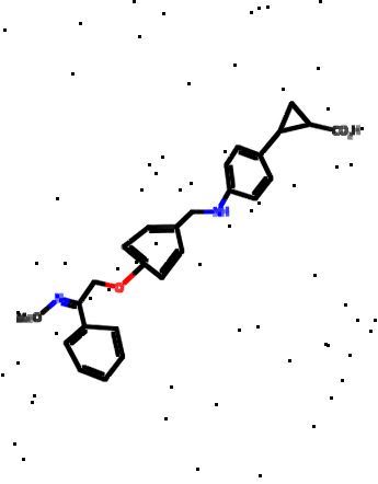 CO/N=C(/COc1ccc(CNc2ccc(C3CC3C(=O)O)cc2)cc1)c1ccccc1